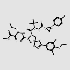 CCC[C@H](NC(=O)[C@@H]1C[C@]2(CC(c3cc(C)c(OCC)c(C)c3)=NO2)CN1C(=O)[C@H](NC(=O)[C@H]1C[C@@H]1c1ccc(F)cc1)C(C)(C)C)C(=O)C(=O)NC